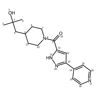 CC(C)(O)CC1CCN(C(=O)c2cc(-c3ccncc3)n[nH]2)CC1